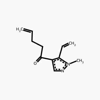 C=CCCC(=O)c1cnn(C)c1C=C